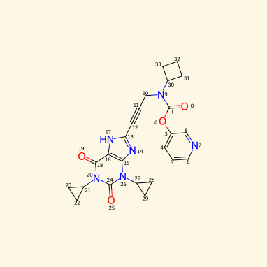 O=C(Oc1cccnc1)N(CC#Cc1nc2c([nH]1)c(=O)n(C1CC1)c(=O)n2C1CC1)C1CCC1